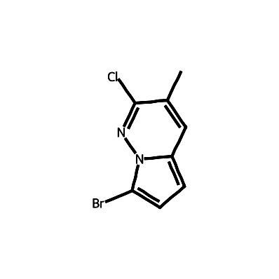 Cc1cc2ccc(Br)n2nc1Cl